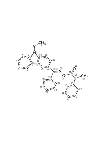 CCn1c2ccccc2c2cc(/C(=N/OC(=O)N(C)c3ccccc3)c3ccccc3)ccc21